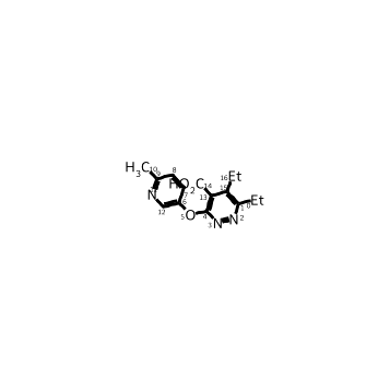 CCc1nnc(Oc2ccc(C)nc2)c(C(=O)O)c1CC